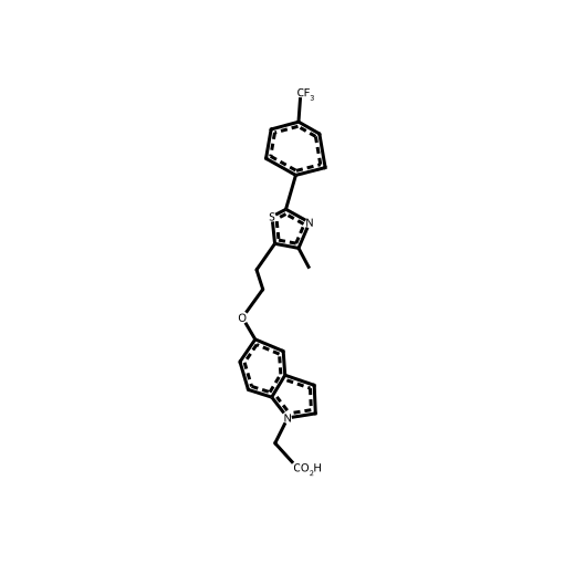 Cc1nc(-c2ccc(C(F)(F)F)cc2)sc1CCOc1ccc2c(ccn2CC(=O)O)c1